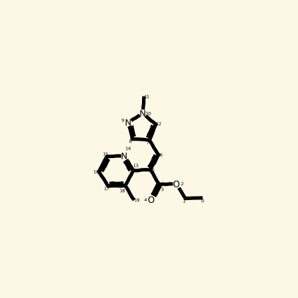 CCOC(=O)/C(=C/c1cnn(C)c1)c1ncccc1C